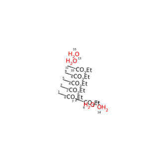 CCOC(C)=O.CCOC(C)=O.CCOC(C)=O.CCOC(C)=O.CCOC(C)=O.CCOC(C)=O.O.O.O.O